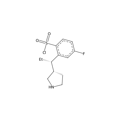 CC[C@H](c1cc(F)ccc1S(=O)(=O)Cl)[C@@H]1CCNC1